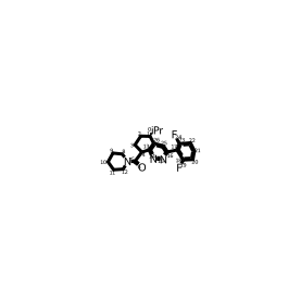 CC(C)[C@@H]1CCC(C(=O)N2CCCCC2)c2nnc(-c3c(F)cccc3F)cc21